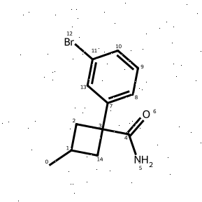 CC1CC(C(N)=O)(c2cccc(Br)c2)C1